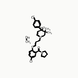 CC1(C)CN(CCCOc2ccc(Cl)cc2C(=O)N2CCCC2)CCC1(O)c1ccc(Cl)cc1.CO